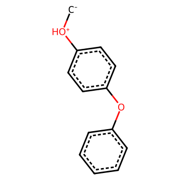 [CH2-][OH+]c1ccc(Oc2ccccc2)cc1